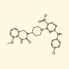 COc1cccc2c1NC(=O)N(C1CCN(c3nc(Nc4ccc(Cl)cc4)ncc3[N+](=O)[O-])CC1)C2